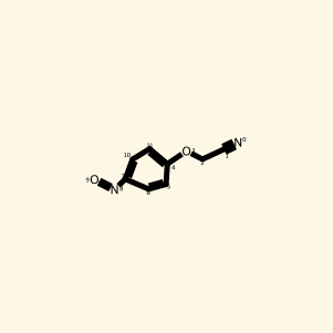 N#CCOc1ccc(N=O)cc1